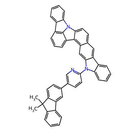 CC1(C)c2ccccc2-c2cc(-c3ccc(-n4c5ccccc5c5cc6ccc7c(c6cc54)c4cccc5c6ccccc6n7c54)nc3)ccc21